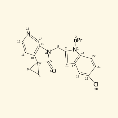 [CH2]CCn1c(CN2C(=O)C3(CC3)c3ccncc32)cc2cc(Cl)ccc21